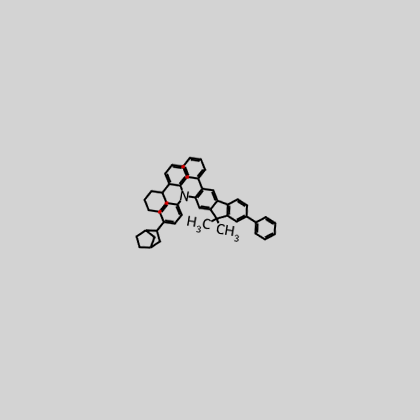 CC1(C)c2cc(-c3ccccc3)ccc2-c2cc(-c3ccccc3)c(N(c3ccc(C4CC5CCC4C5)cc3)c3ccccc3C3CCCCC3)cc21